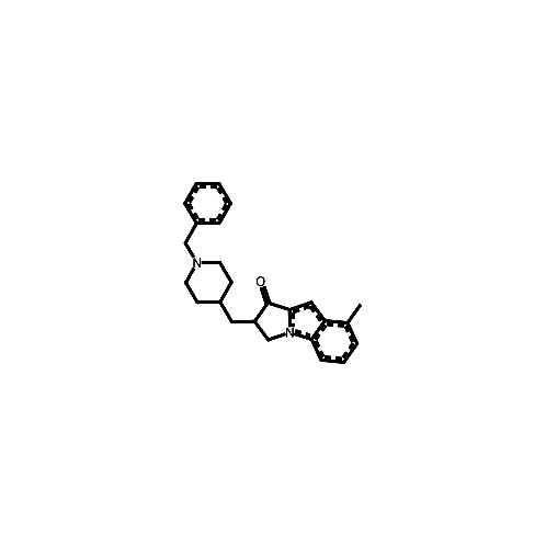 Cc1cccc2c1cc1n2CC(CC2CCN(Cc3ccccc3)CC2)C1=O